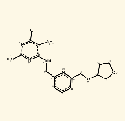 Nc1nc(Cl)c(N)c(NCc2cccc(COC3CCOC3)n2)n1